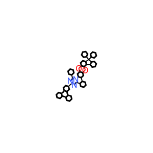 c1ccc(-c2nc(-c3ccc4c5ccccc5c5ccccc5c4c3)nc(-c3ccccc3-c3ccc4c(c3)Oc3c(ccc5c3-c3ccccc3C5(c3ccccc3)c3ccccc3)O4)n2)cc1